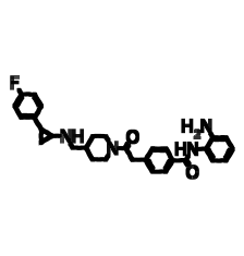 Nc1ccccc1NC(=O)c1ccc(CC(=O)N2CCC(CNC3CC3c3ccc(F)cc3)CC2)cc1